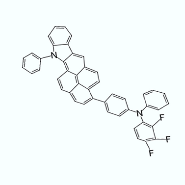 Fc1ccc(N(c2ccccc2)c2ccc(-c3ccc4ccc5c6c(ccc3c46)cc3c4ccccc4n(-c4ccccc4)c35)cc2)c(F)c1F